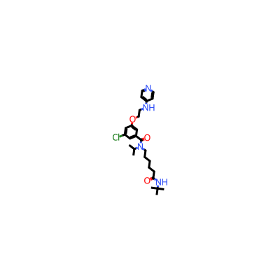 CC(C)N(CCCCCC(=O)NC(C)(C)C)C(=O)c1cc(Cl)cc(OCCNc2ccncc2)c1